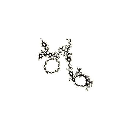 COc1cc2cc(c1-c1ccc(NC(=O)OCc3ccc(NC(=O)[C@H](CCCNCOCN)NC(=O)[C@H](NC(=O)CC[C@@H](NC(=O)c4ccc(C(=O)C(CS(=O)(=O)c5ccc(C)cc5)CS(=O)(=O)c5ccc(C)cc5)cc4)C(=O)N4CCOCCOCCOCCOCCOCCOCCOCC4)C(C)C)cc3)cc1)N(C)C(=O)C[C@@H](OC(=O)C(C)C)[C@@]1(C)O[C@@H]1[C@@H](C)[C@H]1CC(O)(NC(=O)O1)[C@@H](OC)/C=C\C=C(\C)C2